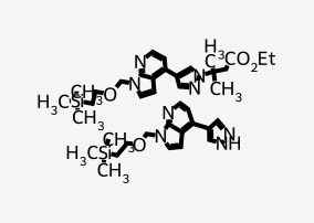 CCOC(=O)CC(C)(C)n1cc(-c2ccnc3c2ccn3COCC[Si](C)(C)C)cn1.C[Si](C)(C)CCOCn1ccc2c(-c3cn[nH]c3)ccnc21